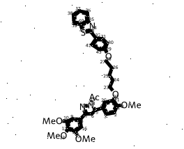 COc1ccc(C2CC(c3cc(OC)c(OC)c(OC)c3)=NN2C(C)=O)cc1OCCCCCOc1ccc(-c2nc3ccccc3s2)cc1